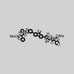 COC(=O)NC(C(=O)N1CCC[C@H]1c1nc2ccc(-c3ccc4c(c3)C(F)(F)c3cc(-c5c[nH]c([C@@H](NC(=O)[C@@H](NC(=O)OC)C6CCOCC6)C(C)C)n5)ccc3-4)cc2[nH]1)c1ccccc1